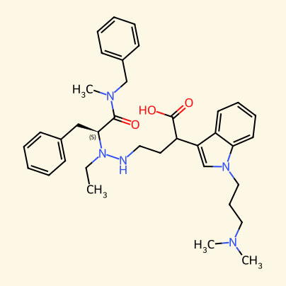 CCN(NCCC(C(=O)O)c1cn(CCCN(C)C)c2ccccc12)[C@@H](Cc1ccccc1)C(=O)N(C)Cc1ccccc1